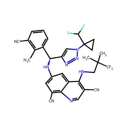 Cc1c(C#N)cccc1[C@H](Nc1cc(C#N)c2ncc(C#N)c(NCC(C)(C)C(F)(F)F)c2c1)c1cn(C2(C(F)F)CC2)nn1